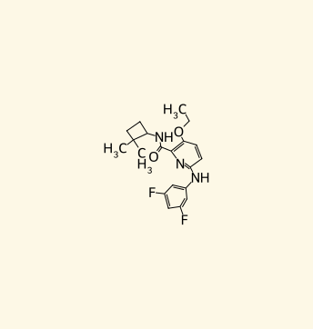 CCOc1ccc(Nc2cc(F)cc(F)c2)nc1C(=O)NC1CCC1(C)C